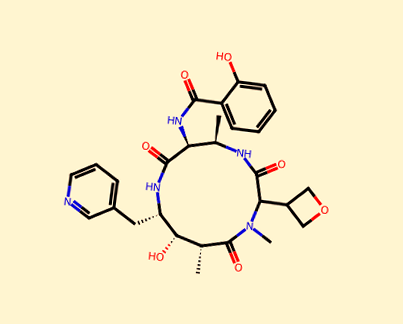 C[C@H]1NC(=O)C(C2COC2)N(C)C(=O)[C@H](C)[C@H](O)[C@H](Cc2cccnc2)NC(=O)[C@H]1NC(=O)c1ccccc1O